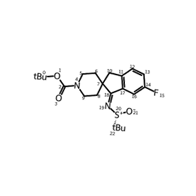 CC(C)(C)OC(=O)N1CCC2(CC1)Cc1ccc(F)cc1/C2=N\[S@+]([O-])C(C)(C)C